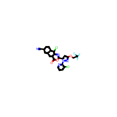 N#Cc1ccc2c(Cl)c3nc(-c4cc(OCC(F)(F)F)nn4-c4ncccc4Cl)oc(=O)c3cc2c1